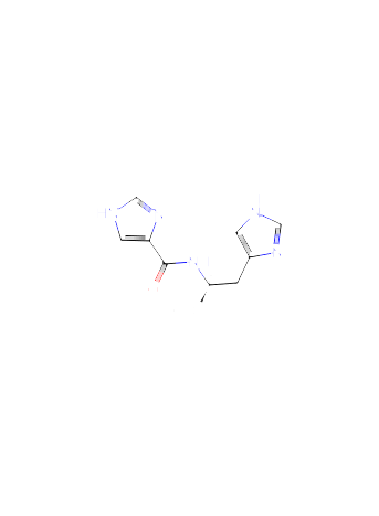 O=C(N[C@@H](Cc1c[nH]cn1)C(=O)O)c1c[nH]cn1